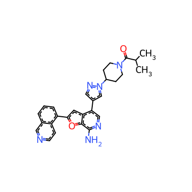 CC(C)C(=O)N1CCC(n2cc(-c3cnc(N)c4oc(-c5cccc6cnccc56)cc34)cn2)CC1